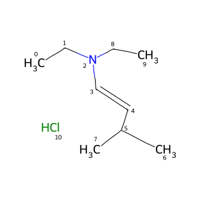 CCN(C=CC(C)C)CC.Cl